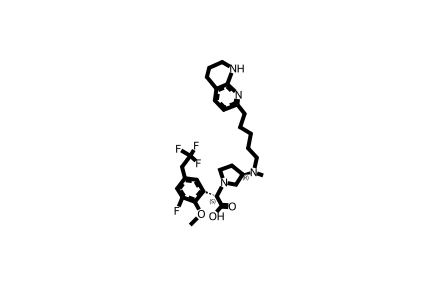 COc1c(F)cc(CC(F)(F)F)cc1[C@@H](C(=O)O)N1CC[C@@H](N(C)CCCCCc2ccc3c(n2)NCCC3)C1